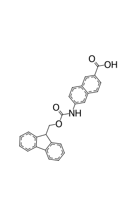 O=C(Nc1ccc2cc(C(=O)O)ccc2c1)OCC1c2ccccc2-c2ccccc21